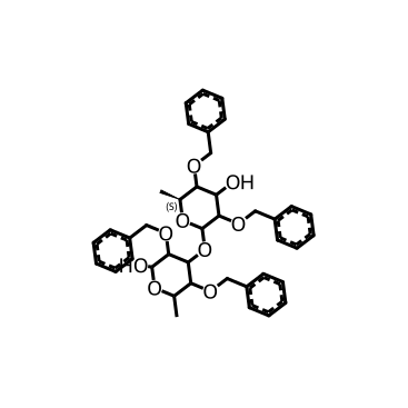 CC1OC(O)C(OCc2ccccc2)C(OC2O[C@@H](C)C(OCc3ccccc3)C(O)C2OCc2ccccc2)C1OCc1ccccc1